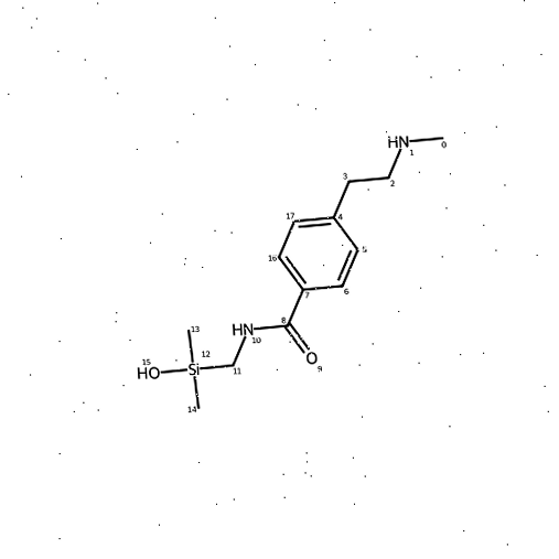 CNCCc1ccc(C(=O)NC[Si](C)(C)O)cc1